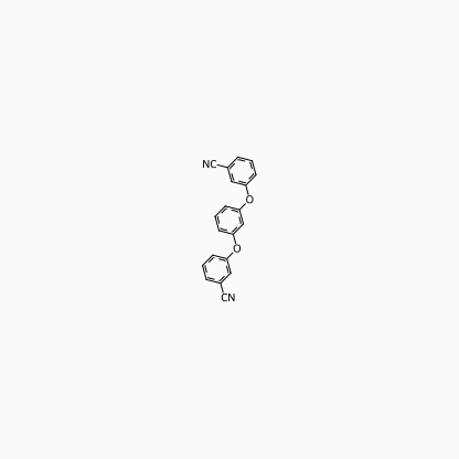 N#Cc1cccc(Oc2cccc(Oc3cccc(C#N)c3)c2)c1